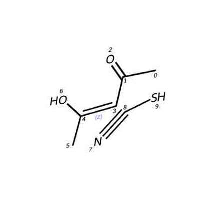 CC(=O)/C=C(/C)O.N#CS